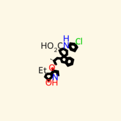 CCC1CC(O)c2nccc(OC[C@H](C)CC3Cc4ccccc4C34CCC(Nc3cccc(Cl)c3)(C(=O)O)CC4)c21